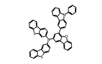 c1ccc(-n2c3ccccc3c3cc(-c4cc(N(c5ccc6c(c5)sc5ccccc56)c5ccc6sc7ccccc7c6c5)cc5c4oc4ccccc45)ccc32)cc1